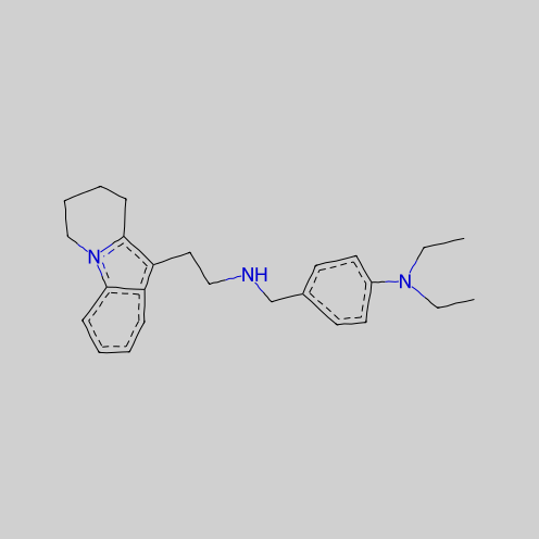 CCN(CC)c1ccc(CNCCc2c3n(c4ccccc24)CCCC3)cc1